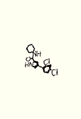 O=C(NC1CCCCC1)c1cc(-c2ccc(Cl)cc2Cl)c[nH]1